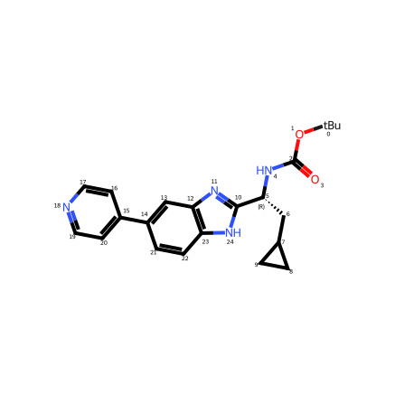 CC(C)(C)OC(=O)N[C@H](CC1CC1)c1nc2cc(-c3ccncc3)ccc2[nH]1